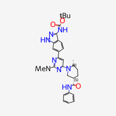 CNc1nc(-c2ccc3c(NC(=O)OC(C)(C)C)n[nH]c3c2)cc(N2C[C@@H](C(=O)Nc3ccccc3)CC[C@H]2C)n1